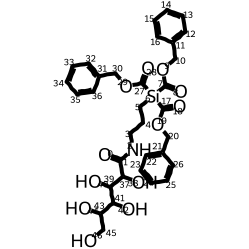 O=C(NCCC[Si](C(=O)OCc1ccccc1)(C(=O)OCc1ccccc1)C(=O)OCc1ccccc1)C(O)C(O)C(O)C(O)CO